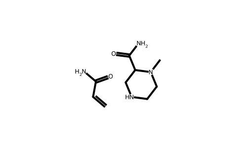 C=CC(N)=O.CN1CCNCC1C(N)=O